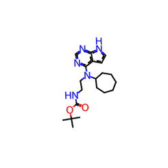 CC(C)(C)OC(=O)NCCN(c1ncnc2[nH]ccc12)C1CCCCCC1